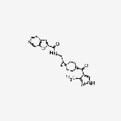 Cc1n[nH]cc1C(=O)N1CCC2(CC1)CC2CNC(=O)c1cc2ccncc2o1